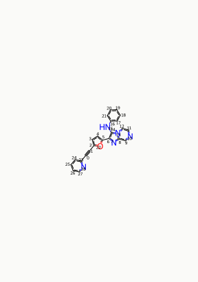 C(#Cc1ccc(-c2nc3cnccn3c2Nc2ccccc2)o1)c1ccccn1